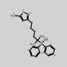 CC(C)(CCCCc1cc(N)on1)[Si](O)(c1ccccc1)c1ccccc1